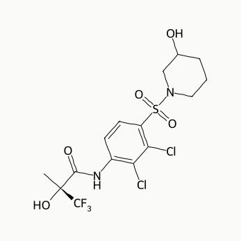 C[C@@](O)(C(=O)Nc1ccc(S(=O)(=O)N2CCCC(O)C2)c(Cl)c1Cl)C(F)(F)F